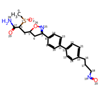 C[S+]([O-])C(CC1CC(c2ccc(-c3ccc(CCCN=O)cc3)cc2)=NO1)C(N)=O